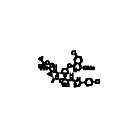 C=C[C@@H]1C[C@]1(NC(=O)[C@@H]1C[C@@H](Oc2ncc(OC)c3ccc(Cl)cc23)CN1C(=O)[C@@H](Nc1nc(-c2ccc(Cl)cc2)cs1)C(C)(C)C)C(=O)NS(=O)(=O)C1CC1